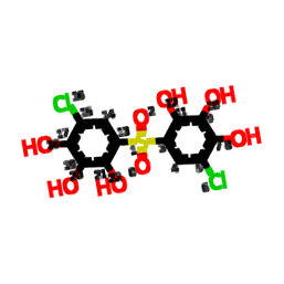 O=S(=O)(c1cc(Cl)c(O)c(O)c1O)c1cc(Cl)c(O)c(O)c1O